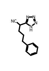 N#CC(CCCc1ccccc1)c1nnn[nH]1